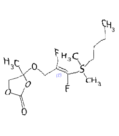 CCCCS(C)(C)/C(F)=C(\F)COC1(C)COC(=O)O1